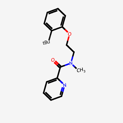 CN(CCOc1ccccc1C(C)(C)C)C(=O)c1ccccn1